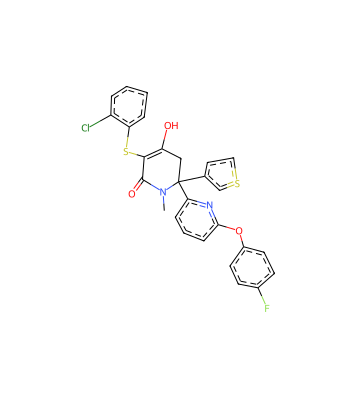 CN1C(=O)C(Sc2ccccc2Cl)=C(O)CC1(c1ccsc1)c1cccc(Oc2ccc(F)cc2)n1